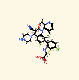 Cc1ccnc(C(C)C)c1-n1c(=O)c(C#N)c(N2CCNCC2)c2cc(F)c(-c3ccc(F)c4sc(C(=O)O)nc34)c(Cl)c21